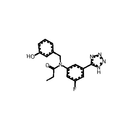 CCC(=O)N(Cc1cccc(O)c1)c1cc(F)cc(-c2nnn[nH]2)c1